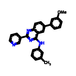 COc1cccc(-c2ccc3nc(-c4cccnc4)nc(Nc4cccc(C)c4)c3c2)c1